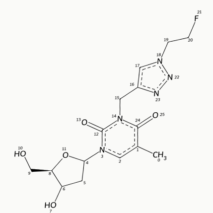 Cc1cn(C2CC(O)[C@@H](CO)O2)c(=O)n(Cc2cn(CCF)nn2)c1=O